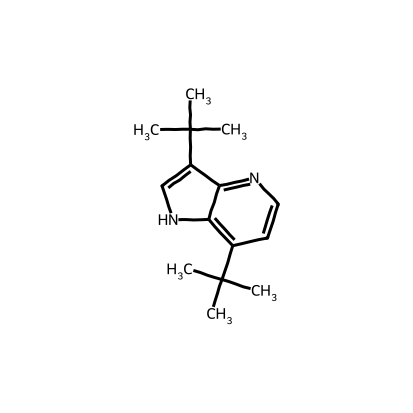 CC(C)(C)c1c[nH]c2c(C(C)(C)C)ccnc12